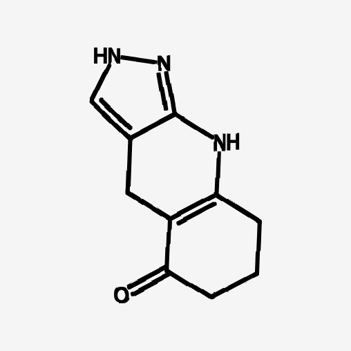 O=C1CCCC2=C1Cc1c[nH]nc1N2